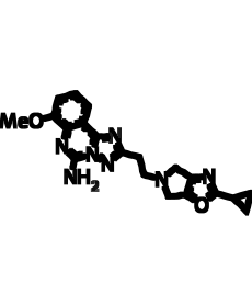 COc1cccc2c1nc(N)n1nc(CCN3Cc4nc(C5CC5)oc4C3)nc21